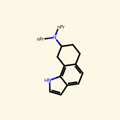 CCCN(CCC)C1CCc2ccc3cc[nH]c3c2C1